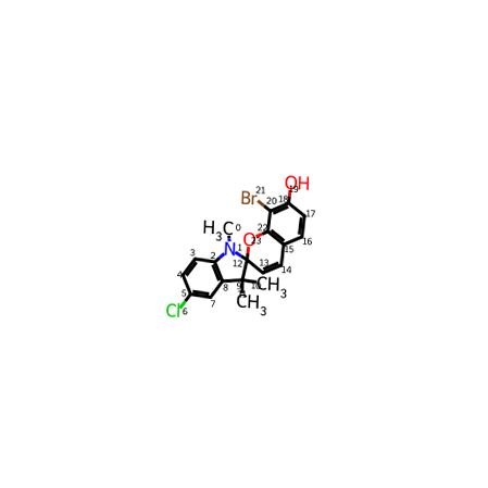 CN1c2ccc(Cl)cc2C(C)(C)C12C=Cc1ccc(O)c(Br)c1O2